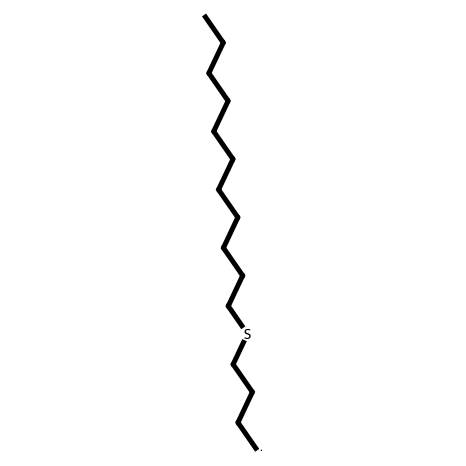 [CH2]CCCSCCCCCCCCCCC